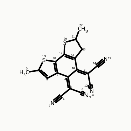 Cc1cc2c(=C(C#N)C#N)c(=C(C#N)C#N)c3c(c2s1)SC(C)C3